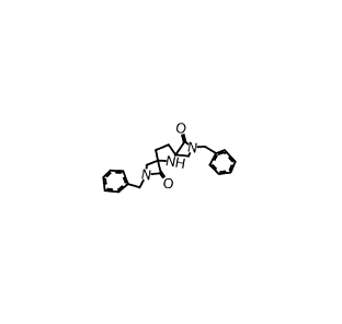 O=C1N(Cc2ccccc2)CC12CCC1(CN(Cc3ccccc3)C1=O)N2